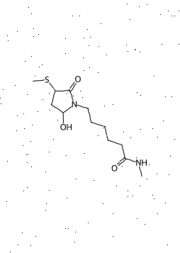 CNC(=O)CCCCCN1C(=O)C(SC)CC1O